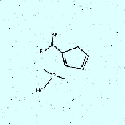 CP(C)O.[Br][Ir]([Br])[C]1=CC=CC1